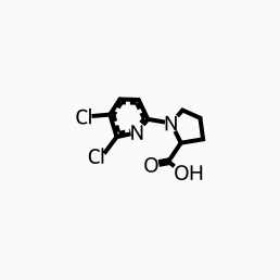 O=C(O)C1CCCN1c1ccc(Cl)c(Cl)n1